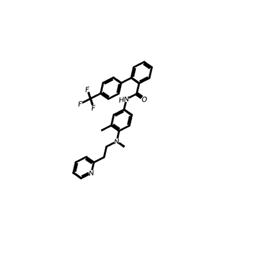 Cc1cc(NC(=O)c2ccccc2-c2ccc(C(F)(F)F)cc2)ccc1N(C)CCc1ccccn1